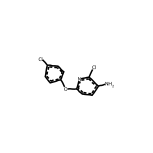 Nc1ccc(Oc2ccc(Cl)cc2)nc1Cl